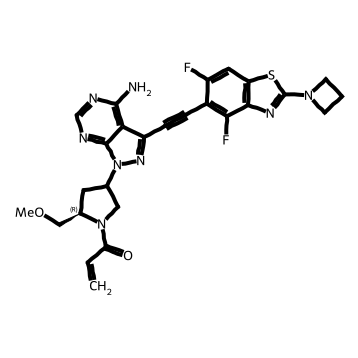 C=CC(=O)N1CC(n2nc(C#Cc3c(F)cc4sc(N5CCC5)nc4c3F)c3c(N)ncnc32)C[C@@H]1COC